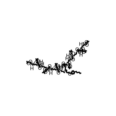 CCCCCc1ccc(OCCN(CCCNC(=O)[C@H](CCCCNC(=O)[C@H](CCCCNC(=O)[C@H](CCCCNC(=O)OC(C)(C)C)NC(=O)OC(C)(C)C)NC(=O)OC(C)(C)C)NC(=O)OC(C)(C)C)CCCNC(=O)[C@H](CCCCNC(=O)[C@H](CCCCNC(=O)[C@H](CCCCNC(=O)OC(C)(C)C)NC(=O)OC(C)(C)C)NC(=O)OC(C)(C)C)NC(=O)OC(C)(C)C)cc1